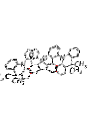 CC1(C)c2ccccc2N(c2ccccc2-c2cccc3c2P(=O)(c2ccccc2)c2c(-c4ccccc4N4c5ccccc5C(C)(C)c5ccccc54)cccc2-3)c2ccccc21